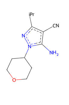 CC(C)c1nn(C2CCOCC2)c(N)c1C#N